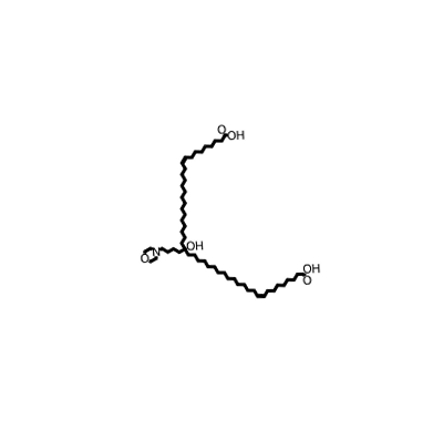 O=C(O)CCCCCCC/C=C\CCCCCCCCCCCCCCC(O)(CCCCCCCCCCCCCC/C=C\CCCCCCCC(=O)O)CCCCN1CCOCC1